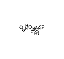 COc1ccccc1-c1nc2cc(NC(=O)c3c(C(=O)N4CCOCC4)cnn3C)ccn2n1